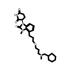 CN(CCCOCCCc1cccc2c1n(C)c(=O)n2[C@@H]1CCC(=O)NC1=O)CC1CCCCC1